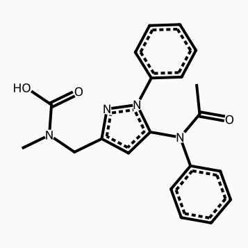 CC(=O)N(c1ccccc1)c1cc(CN(C)C(=O)O)nn1-c1ccccc1